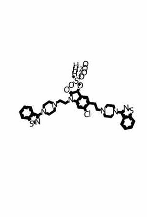 CS(=O)(=O)OC1C(=O)N(CCN2CCN(c3nsc4ccccc34)CC2)c2cc(Cl)c(CCN3CCN(c4nsc5ccccc45)CC3)cc21.O.O.O